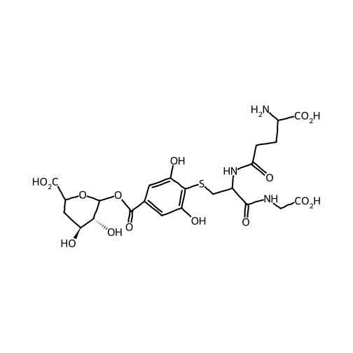 NC(CCC(=O)NC(CSc1c(O)cc(C(=O)OC2OC(C(=O)O)C[C@H](O)[C@H]2O)cc1O)C(=O)NCC(=O)O)C(=O)O